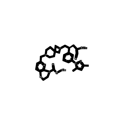 COC(=C=O)C[C@H](CN1CC2(CCN(Cc3ccc4c(n3)N(C(=O)OC(C)(C)C)CCO4)CC2)C1)c1cccc(-n2nc(C)cc2C)c1